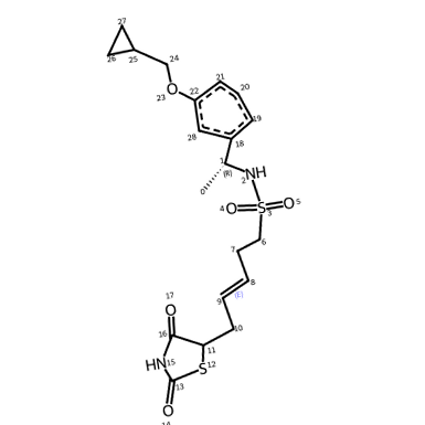 C[C@@H](NS(=O)(=O)CC/C=C/CC1SC(=O)NC1=O)c1cccc(OCC2CC2)c1